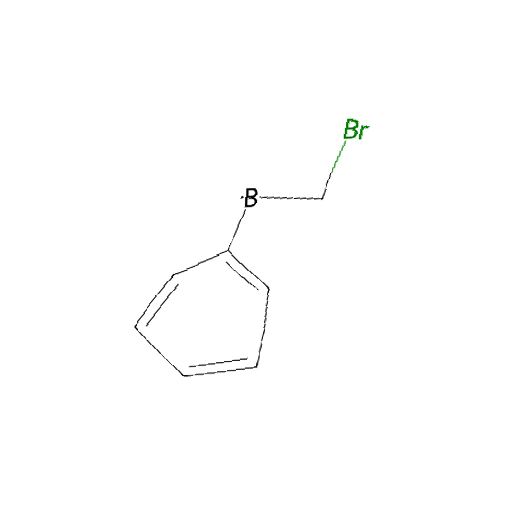 BrC[B]c1ccccc1